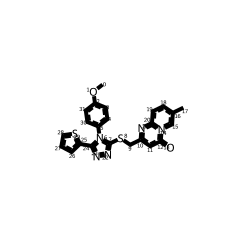 COc1ccc(-n2c(SCc3cc(=O)n4cc(C)ccc4n3)nnc2-c2cccs2)cc1